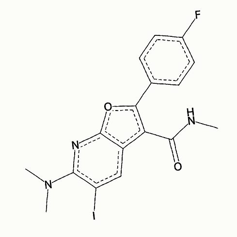 CNC(=O)c1c(-c2ccc(F)cc2)oc2nc(N(C)C)c(I)cc12